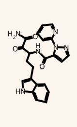 NC(=O)C(=O)C(CCc1c[nH]c2ccccc12)NC(=O)c1ccnn1-c1ccccn1